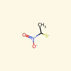 CC([S])[N+](=O)[O-]